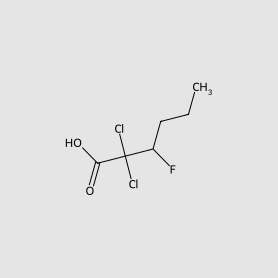 CCCC(F)C(Cl)(Cl)C(=O)O